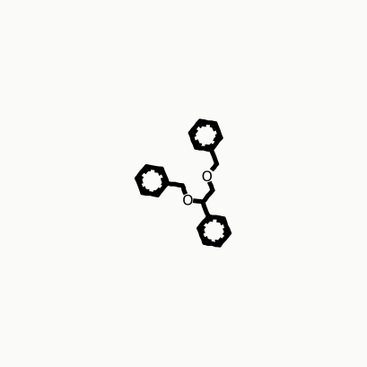 c1ccc(COCC(OCc2ccccc2)c2ccccc2)cc1